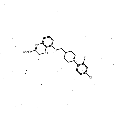 COC1=Nc2cccc(OCC3CCN(c4ccc(Cl)cc4F)CC3)c2PC1